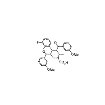 COc1cccc(C(=O)C2CN(C(=O)O)C(C)C(C(=O)c3cccc(OC)c3)C2c2cccc(F)c2C)c1